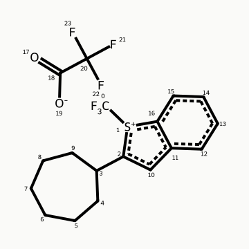 FC(F)(F)[s+]1c(C2CCCCCC2)cc2ccccc21.O=C([O-])C(F)(F)F